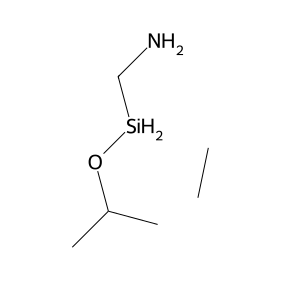 CC.CC(C)O[SiH2]CN